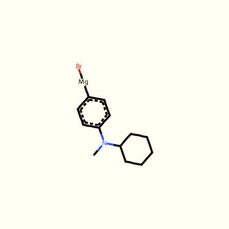 CN(c1cc[c]([Mg][Br])cc1)C1CCCCC1